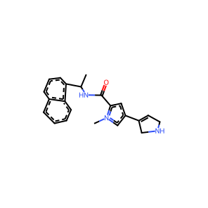 CC(NC(=O)c1cc(C2=CCNC2)cn1C)c1cccc2ccccc12